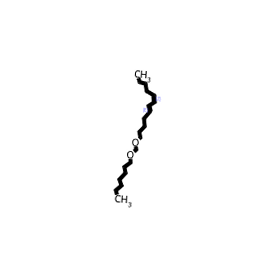 CCCC/C=C\C=C\CCCCOCOCCCCCCC